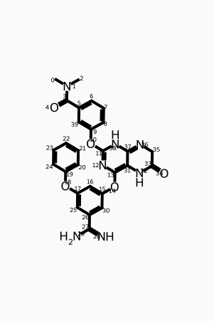 CN(C)C(=O)c1cccc(OC2=NC(Oc3cc(Oc4ccccc4)cc(C(=N)N)c3)=C3NC(=O)CN=C3N2)c1